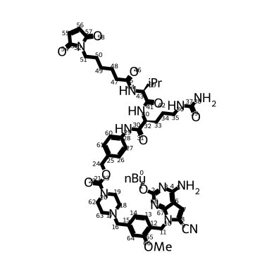 CCCCOc1nc(N)c2cc(C#N)n(Cc3ccc(CN4CCN(C(=O)OCc5ccc(NC(=O)[C@H](CCCNC(N)=O)NC(=O)[C@@H](NC(=O)CCCCCN6C(=O)C=CC6=O)C(C)C)cc5)CC4)cc3OC)c2n1